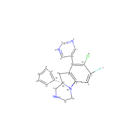 Fc1cc2c(c(-c3cncnc3)c1Cl)C[C@]1(c3ccccc3)CNCCN21